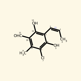 C/C=C\c1c(O)c(Cl)c(C)c(C=O)c1O